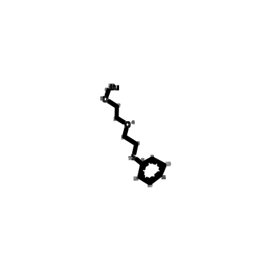 CCC(C)OCCOCCSc1ccccc1